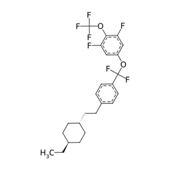 CC[C@H]1CC[C@H](CCc2ccc(C(F)(F)Oc3cc(F)c(OC(F)(F)F)c(F)c3)cc2)CC1